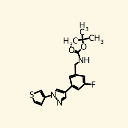 CC(C)(C)OC(=O)NCc1cc(F)cc(-c2cnn(-c3ccsc3)c2)c1